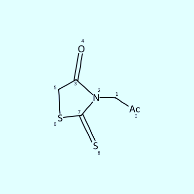 CC(=O)CN1C(=O)CSC1=S